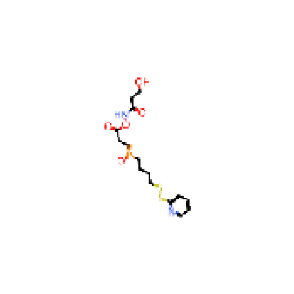 O=C(CCO)NOC(=O)CC[PH](=O)CCCCSSc1ccccn1